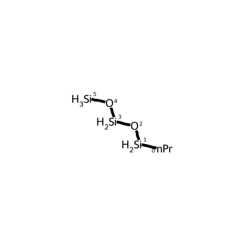 CCC[SiH2]O[SiH2]O[SiH3]